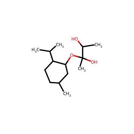 CC1CCC(C(C)C)C(OC(C)(O)C(C)O)C1